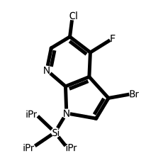 CC(C)[Si](C(C)C)(C(C)C)n1cc(Br)c2c(F)c(Cl)cnc21